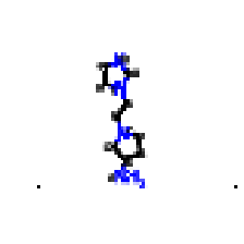 N[C@@H]1CCN(CCn2ccnc2)C1